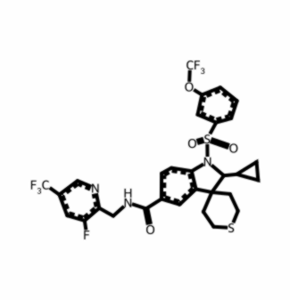 O=C(NCc1ncc(C(F)(F)F)cc1F)c1ccc2c(c1)C1(CCSCC1)C(C1CC1)N2S(=O)(=O)c1cccc(OC(F)(F)F)c1